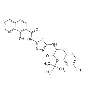 CC(C)(C)OC(=O)C(Cc1ccc(O)cc1)Nc1nnc(NC(=O)c2ccc3cccnc3c2O)s1